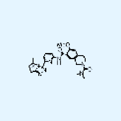 COc1cc2c(cc1C(=O)Nc1cccc(-c3nnc4n3[C@H](C)CC4)n1)CN(C(=O)N(C)C)CC2